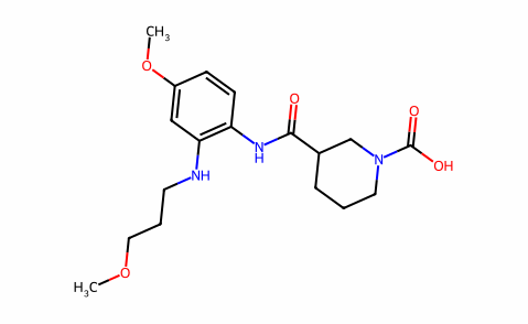 COCCCNc1cc(OC)ccc1NC(=O)C1CCCN(C(=O)O)C1